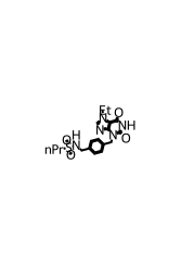 CCCS(=O)(=O)NCc1ccc(Cn2c(=O)[nH]c(=O)c3c2ncn3CC)cc1